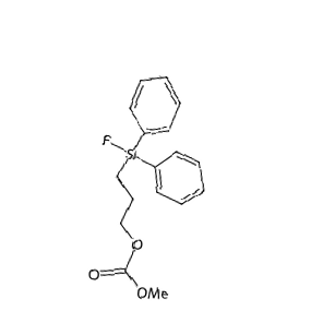 COC(=O)OCCC[Si](F)(c1ccccc1)c1ccccc1